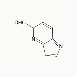 O=CC1C=CC2=NC=CC2=N1